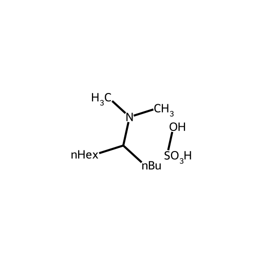 CCCCCCC(CCCC)N(C)C.O=S(=O)(O)O